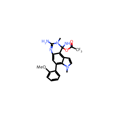 COc1ccccc1-c1cc2c(c3ccn(C)c13)C(N)(OC(=O)C(F)(F)F)N(C)C(N)=N2